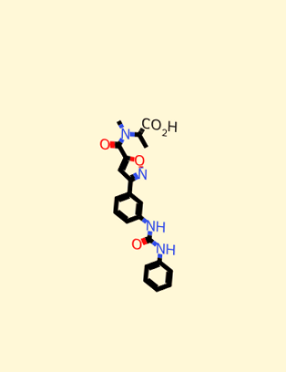 CC(C(=O)O)N(C)C(=O)c1cc(-c2cccc(NC(=O)Nc3ccccc3)c2)no1